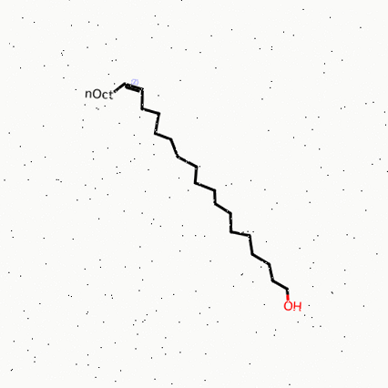 CCCCCCCC/C=C\CCCCCCCCCCCCCCCCO